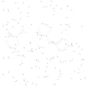 COc1cc(C(C)NCC[C@H]2CC(c3ccc(C)c(C)c3)c3ccccc3O2)ccc1F